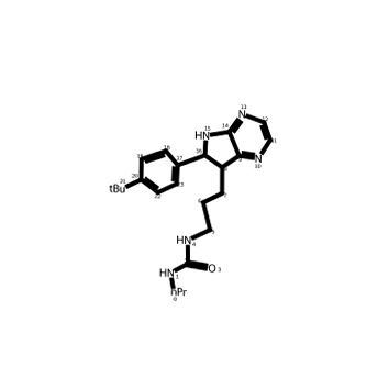 CCCNC(=O)NCCCC1c2nccnc2NC1c1ccc(C(C)(C)C)cc1